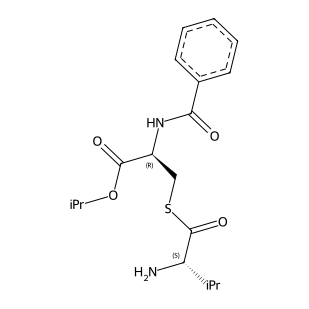 CC(C)OC(=O)[C@H](CSC(=O)[C@@H](N)C(C)C)NC(=O)c1ccccc1